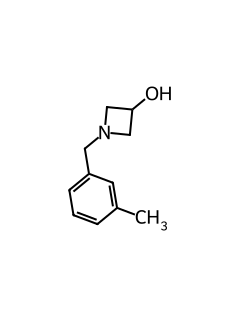 Cc1cccc(CN2CC(O)C2)c1